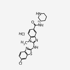 Cl.Cn1c(Nc2nc3ccc(Cl)cc3s2)nc2cc(C(=O)N[C@H]3CCCNC3)ccc21